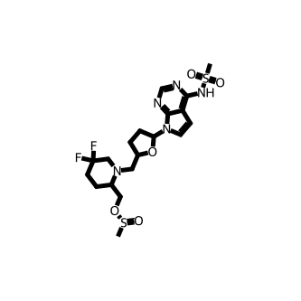 CS(=O)OCC1CCC(F)(F)CN1CC1CCC(n2ccc3c(NS(C)(=O)=O)ncnc32)O1